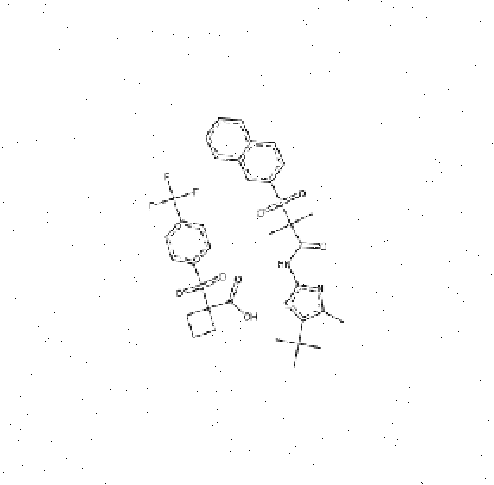 Cc1nc(NC(=O)C(C)(C)S(=O)(=O)c2ccc3ccccc3c2)sc1C(C)(C)C.O=C(O)C1(S(=O)(=O)c2ccc(C(F)(F)F)cc2)CCC1